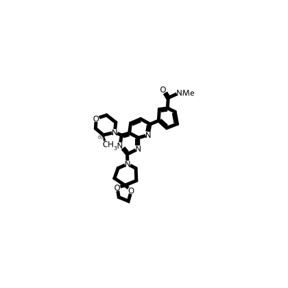 CNC(=O)c1cccc(-c2ccc3c(N4CCOC[C@@H]4C)nc(N4CCC5(CC4)OCCO5)nc3n2)c1